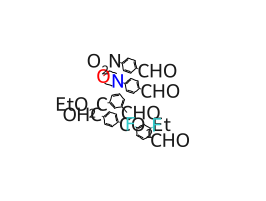 CCOC(=O)c1ccc(C=O)cc1.CCOC(=O)c1cccc(C=O)c1.O=Cc1ccc(F)cc1F.O=Cc1ccc(N2CCOCC2)cc1.O=Cc1ccc([N+](=O)[O-])cc1